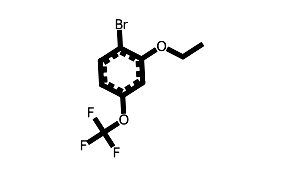 CCOc1cc(OC(F)(F)F)ccc1Br